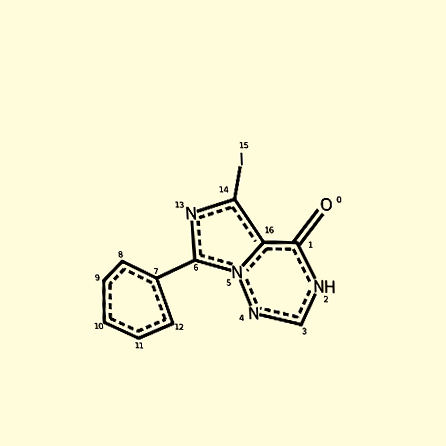 O=c1[nH]cnn2c(-c3ccccc3)nc(I)c12